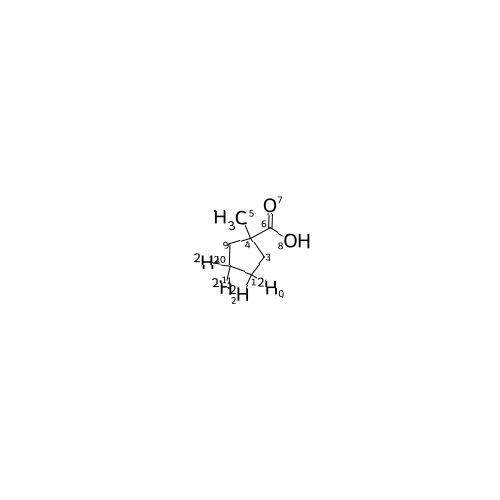 [2H]C1([2H])CC(C)(C(=O)O)CC1([2H])[2H]